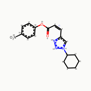 O=C(/C=C\c1cn(C2CCCCC2)nn1)Oc1ccc([N+](=O)[O-])cc1